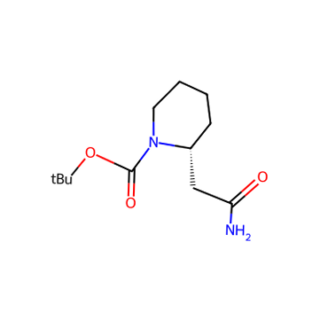 CC(C)(C)OC(=O)N1CCCC[C@@H]1CC(N)=O